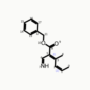 C/C=C\C(C)=C(/C=N)C(=O)OCc1ccccc1